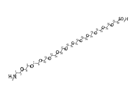 NCCOCCOCCOCCOCCOCCOCCOCCOCCOCCOCCOCCOCCS(=O)(=O)O